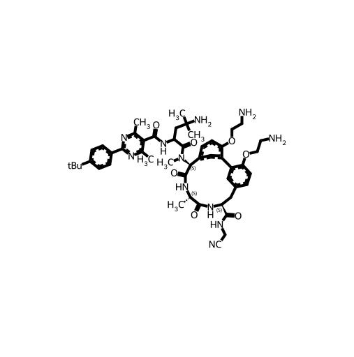 Cc1nc(-c2ccc(C(C)(C)C)cc2)nc(C)c1C(=O)NC(CC(C)(C)N)C(=O)N(C)[C@@H]1C(=O)N[C@@H](C)C(=O)N[C@H](C(=O)NCC#N)Cc2ccc(OCCN)c(c2)-c2cc1ccc2OCCN